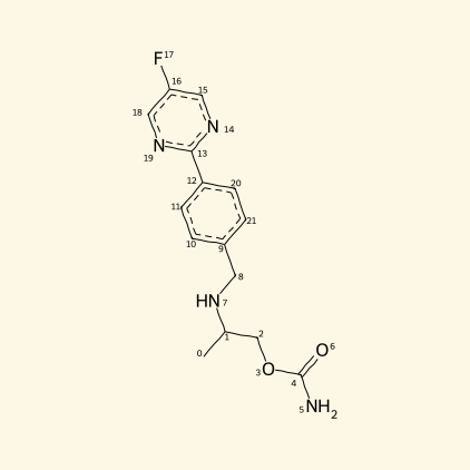 CC(COC(N)=O)NCc1ccc(-c2ncc(F)cn2)cc1